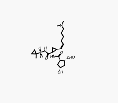 CN(C)CCCC/C=C\[C@@H]1C[C@]1(NC(=O)[C@@H]1C[C@@H](O)C[C@H]1C=O)C(=O)NS(=O)(=O)C1(C)CC1